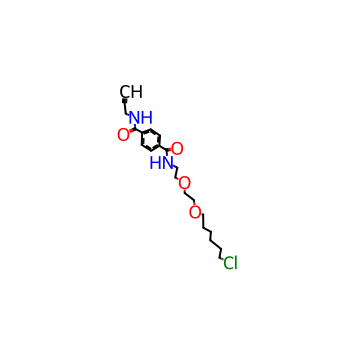 C#CCNC(=O)c1ccc(C(=O)NCCOCCOCCCCCCCl)cc1